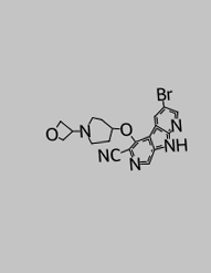 N#Cc1ncc2[nH]c3ncc(Br)cc3c2c1OC1CCN(C2COC2)CC1